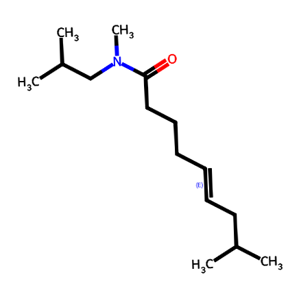 CC(C)C/C=C/CCCC(=O)N(C)CC(C)C